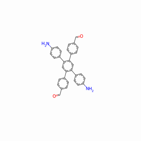 Nc1ccc(-c2cc(-c3ccc(C=O)cc3)c(-c3ccc(N)cc3)cc2-c2ccc(C=O)cc2)cc1